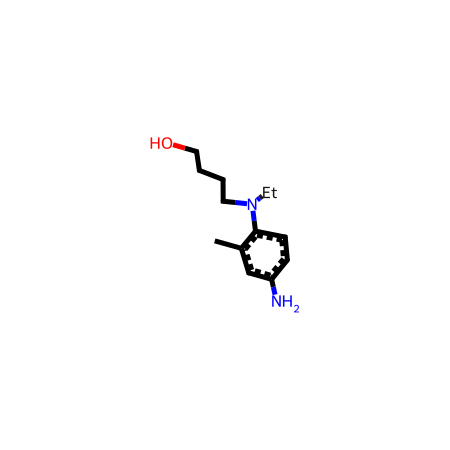 CCN(CCCCO)c1ccc(N)cc1C